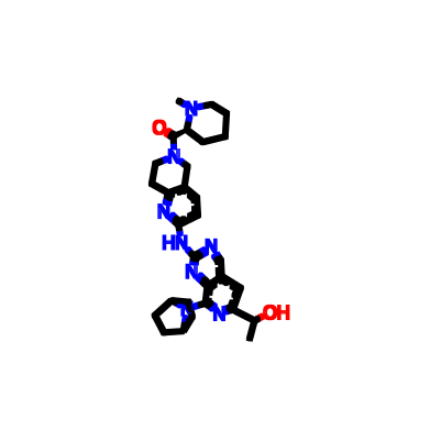 CC(O)c1cc2cnc(Nc3ccc4c(n3)CCN(C(=O)[C@@H]3CCCCN3C)C4)nc2c(N2C3CCC2CC3)n1